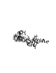 COC(=O)C1CCCN1Cc1ccc(OCc2nc(-c3ccccc3)oc2C)cc1C